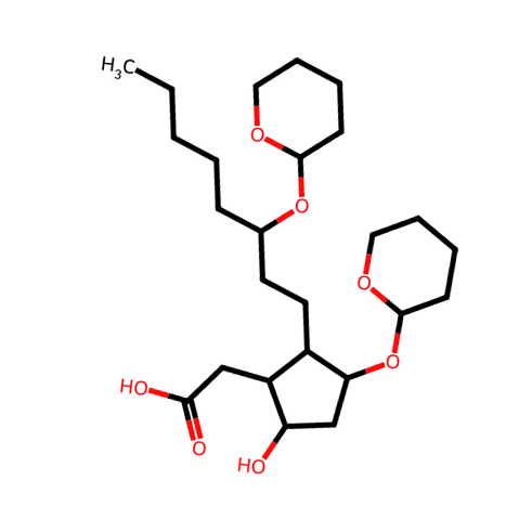 CCCCCC(CCC1C(OC2CCCCO2)CC(O)C1CC(=O)O)OC1CCCCO1